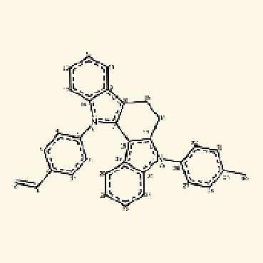 C=Cc1ccc(-n2c3c(c4ccccc42)CCc2c-3c3ccccc3n2-c2ccc(C)cc2)cc1